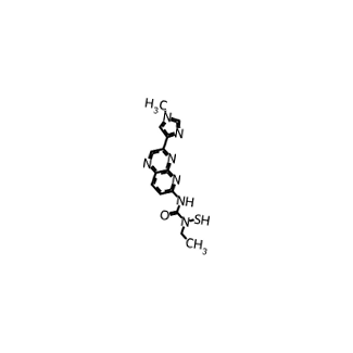 CCN(S)C(=O)Nc1ccc2ncc(-c3cn(C)cn3)nc2n1